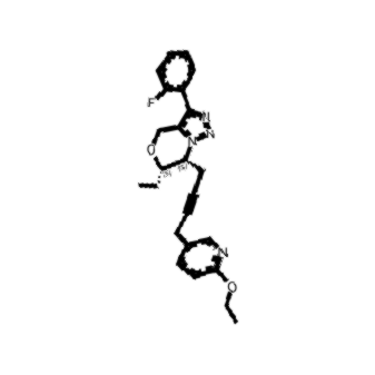 CCOc1ccc(CC#CC[C@H]2[C@H](CC)OCc3c(-c4ccccc4F)nnn32)cn1